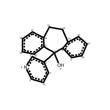 OC1(c2cccnc2)c2ccccc2CCc2ccccc21